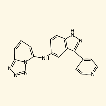 c1cc(Nc2ccc3[nH]nc(-c4ccncc4)c3c2)n2nnnc2c1